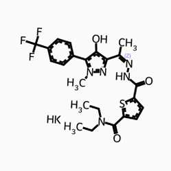 CCN(CC)C(=O)c1ccc(C(=O)N/N=C(/C)c2nn(C)c(-c3ccc(C(F)(F)F)cc3)c2O)s1.[KH]